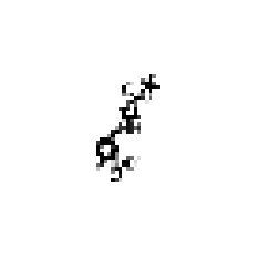 Cc1ccc(CNC2CN(C(=O)OC(C)(C)C)C2)cc1[N+](=O)[O-]